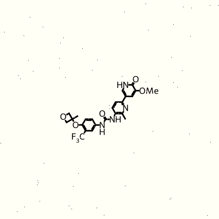 COc1cc(-c2ccc(NC(=O)Nc3ccc(OC4(C)COC4)c(C(F)(F)F)c3)c(C)n2)c[nH]c1=O